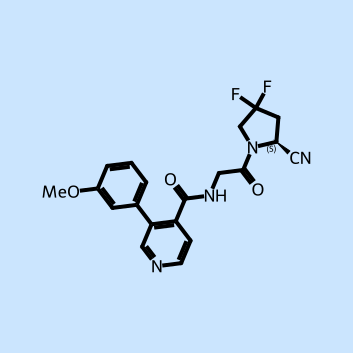 COc1cccc(-c2cnccc2C(=O)NCC(=O)N2CC(F)(F)C[C@H]2C#N)c1